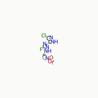 C=C(C)OC(=O)N1CCC[C@H](CNc2nc(-c3c[nH]c4ncc(Cl)cc34)ncc2F)C1